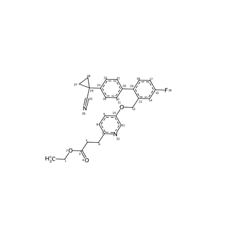 CCOC(=O)CCc1ccc(OCc2cc(F)ccc2-c2ccc(C3(C#N)CC3)cc2)cn1